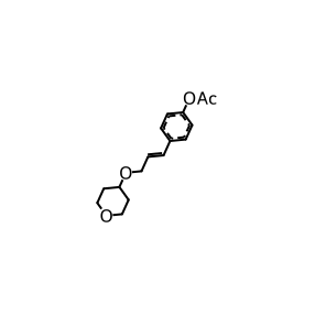 CC(=O)Oc1ccc(C=CCOC2CCOCC2)cc1